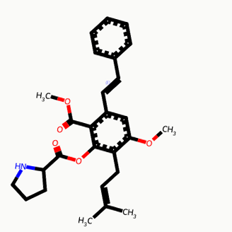 COC(=O)c1c(/C=C/c2ccccc2)cc(OC)c(CC=C(C)C)c1OC(=O)C1CCCN1